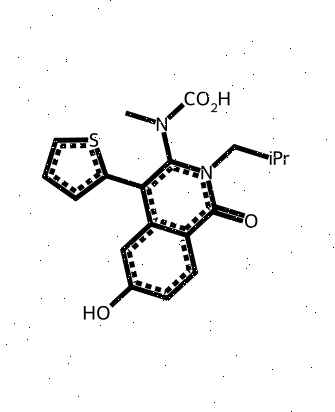 CC(C)Cn1c(N(C)C(=O)O)c(-c2cccs2)c2cc(O)ccc2c1=O